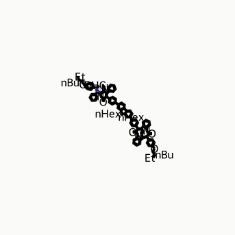 CCCCCCC1(CCCCCC)c2cc(-c3ccc(-c4c(=O)n5c6ccccc6/c(=C(/C)c6ccc(OCC(CC)CCCC)cc6)c5c5c4c4ccccc4n5C=O)cc3)ccc2-c2ccc(-c3ccc(-c4c(=O)n5c6ccccc6c6c(-c7ccc(OCC(CC)CCCC)cc7)c(=O)n7c8ccccc8c4c7c65)cc3)cc21